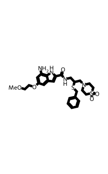 COCCOc1cc(N)c2[nH]c(C(=O)NCC(CN3CCS(=O)(=O)CC3)SCc3ccccc3)cc2c1